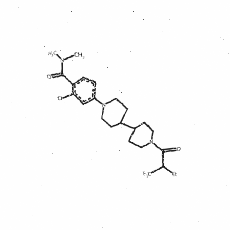 CCC(C(=O)N1CCC(C2CCN(c3ccc(C(=O)N(C)C)c(Cl)c3)CC2)CC1)C(F)(F)F